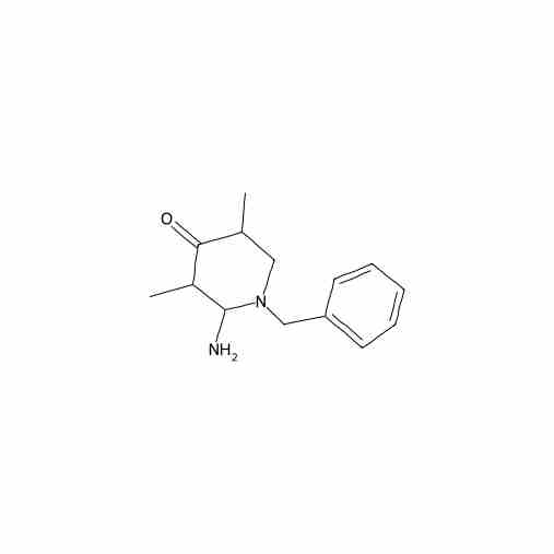 CC1CN(Cc2ccccc2)C(N)C(C)C1=O